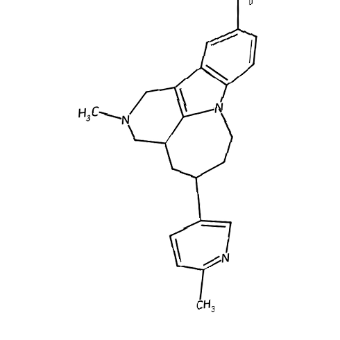 Cc1ccc2c(c1)c1c3n2CCC(c2ccc(C)nc2)CC3CN(C)C1